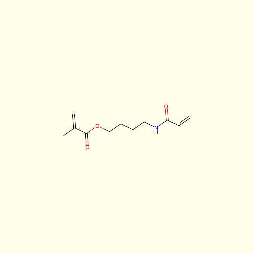 C=CC(=O)NCCCCOC(=O)C(=C)C